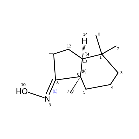 CC1(C)CCC[C@@]2(C)/C(=N/O)CC[C@@H]12